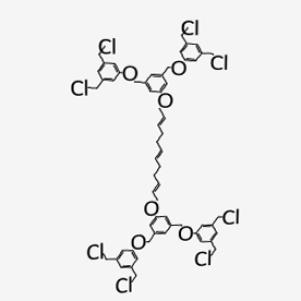 ClCc1cc(CCl)cc(OCc2cc(COc3cc(CCl)cc(CCl)c3)cc(OC/C=C/CC/C=C/CC/C=C/COc3cc(COc4cc(CCl)cc(CCl)c4)cc(COc4cc(CCl)cc(CCl)c4)c3)c2)c1